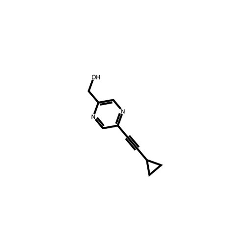 OCc1cnc(C#CC2CC2)cn1